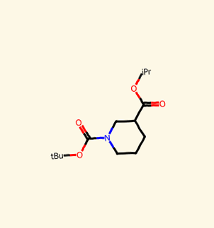 CC(C)OC(=O)C1CCCN(C(=O)OC(C)(C)C)C1